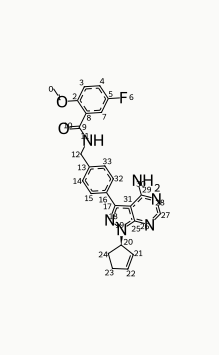 COc1ccc(F)cc1C(=O)NCc1ccc(-c2nn([C@H]3C=CCC3)c3ncnc(N)c23)cc1